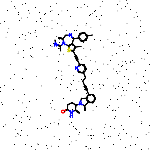 C=C1NC(=O)CCC1N1Cc2c(C#CCCc3ccc(C#Cc4sc5c(c4C)C(c4ccc(C)cc4)=NCC(=C)N5/C(C)=N\C)nc3)cccc2C1=C